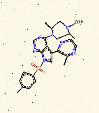 Cc1ccc(S(=O)(=O)n2cc(-c3nccnc3C)c3c(N4CC(C)N(C(=O)O)CC4C)ncnc32)cc1